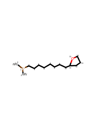 CCC[S+](CCC)CCCCCCCCC1CCCO1